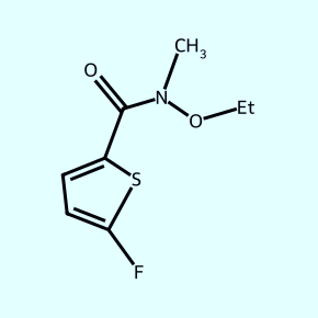 CCON(C)C(=O)c1ccc(F)s1